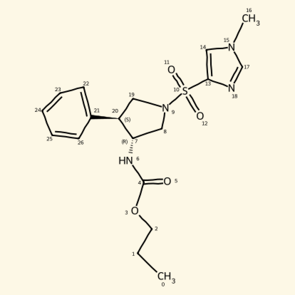 CCCOC(=O)N[C@H]1CN(S(=O)(=O)c2cn(C)cn2)C[C@@H]1c1ccccc1